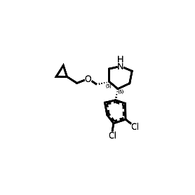 Clc1ccc([C@H]2CCNC[C@H]2COCC2CC2)cc1Cl